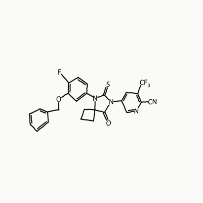 N#Cc1ncc(N2C(=O)C3(CCC3)N(c3ccc(F)c(OCc4ccccc4)c3)C2=S)cc1C(F)(F)F